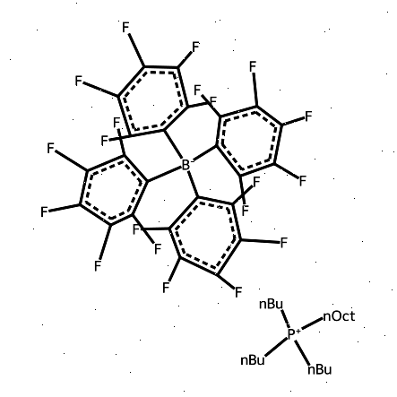 CCCCCCCC[P+](CCCC)(CCCC)CCCC.Fc1c(F)c(F)c([B-](c2c(F)c(F)c(F)c(F)c2F)(c2c(F)c(F)c(F)c(F)c2F)c2c(F)c(F)c(F)c(F)c2F)c(F)c1F